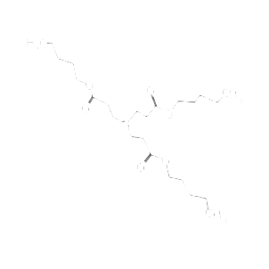 CCCCCOC(=O)CCN(CCC(=O)OCCCCC)CCC(=O)OCCCCC